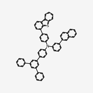 c1ccc(-c2cc(-c3ccccc3)cc(-c3ccc(N(c4ccc(-c5cccc6c5sc5ccccc56)cc4)c4cccc(-c5ccc6ccccc6c5)c4)cc3)c2)cc1